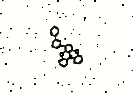 c1ccc(-c2cccc(-c3ccc4c5c3Oc3ccccc3B5c3ccccc3O4)c2)cc1